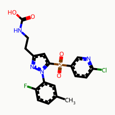 Cc1ccc(F)c(-n2nc(CCNC(=O)O)cc2S(=O)(=O)c2ccc(Cl)nc2)c1